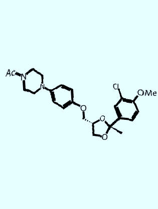 COc1ccc([C@]2(C)OC[C@H](COc3ccc(N4CCN(C(C)=O)CC4)cc3)O2)cc1Cl